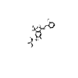 CCN(C)C(=S)Nc1cc(C(F)(F)F)c(C(=O)OCc2ccccc2F)cc1C